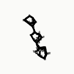 C1CC2CC1CC2C1CC2NC1CC2C1OC2CCC1O2